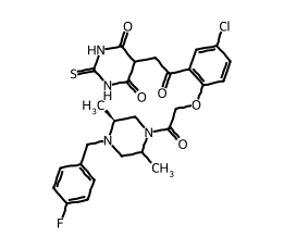 CC1CN(Cc2ccc(F)cc2)[C@@H](C)CN1C(=O)COc1ccc(Cl)cc1C(=O)CC1C(=O)NC(=S)NC1=O